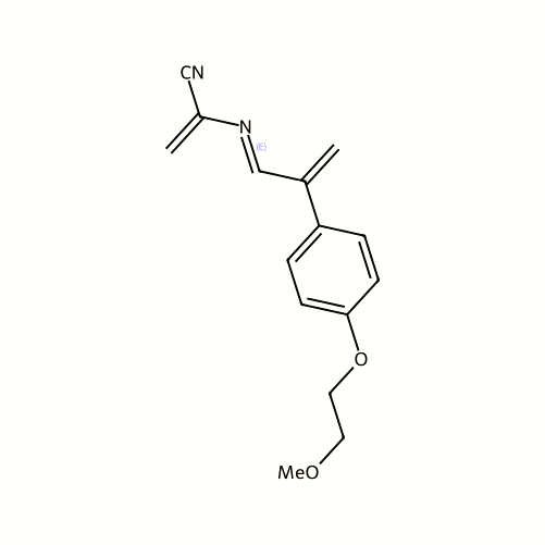 C=C(C#N)/N=C/C(=C)c1ccc(OCCOC)cc1